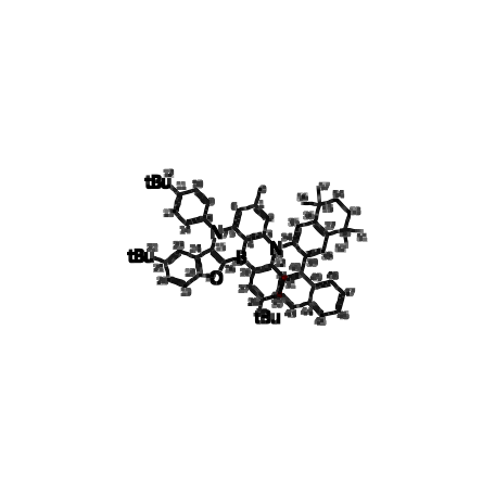 Cc1cc2c3c(c1)N(c1ccc(C(C)(C)C)cc1)c1c(oc4ccc(C(C)(C)C)cc14)B3c1cc(C(C)(C)C)ccc1N2c1cc2c(cc1-c1cccc3ccccc13)C(C)(C)CCC2(C)C